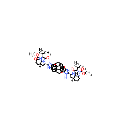 COC(=O)N[C@H](C(=O)N1[C@H](c2nc3ccc(-c4cc5ccc4CCc4ccc(c(-c6ccc7nc([C@@H]8C[C@@H]9CCCC[C@@]9%10N(C(=O)OC)[C@@H](C(C)C)C(=O)N8%10)[nH]c7c6)c4)CC5)cc3[nH]2)C[C@@H]2CCCC[C@@H]21)C(C)C